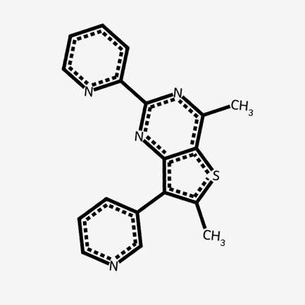 Cc1sc2c(C)nc(-c3ccccn3)nc2c1-c1cccnc1